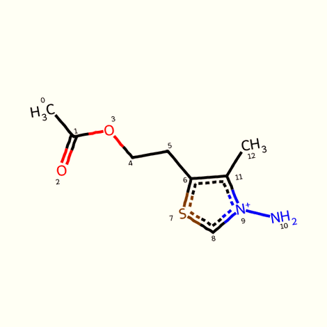 CC(=O)OCCc1sc[n+](N)c1C